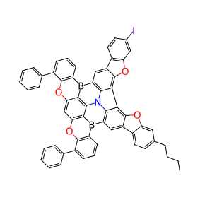 CCCCc1ccc2c(c1)oc1c2cc2c3c1c1c4oc5cc(I)ccc5c4cc4c1n3-c1c3c(cc5c1B2c1cccc(-c2ccccc2)c1O5)Oc1c(cccc1-c1ccccc1)B34